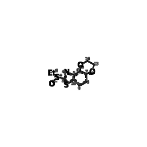 CC[S+]([O-])c1nc2c3c(ccc2s1)OCCO3